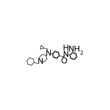 Nc1ccccc1NC(=O)c1ccc(N(CC2CC2)C2CCN(CC3CCCCC3)CC2)cc1